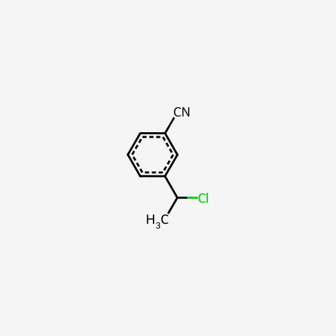 CC(Cl)c1cccc(C#N)c1